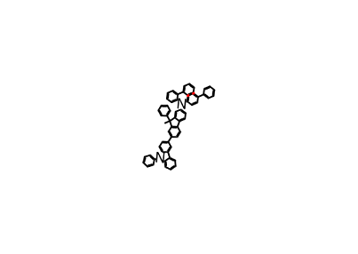 CC1(c2ccccc2)c2cc(-c3ccc4c(c3)c3ccccc3n4-c3ccccc3)ccc2-c2ccc(N(c3ccc(-c4ccccc4)cc3)c3ccccc3-c3ccccc3)cc21